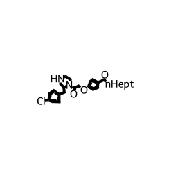 CCCCCCCC(=O)c1ccc(OCC(=O)N2CCNCC2Cc2ccc(Cl)cc2)cc1